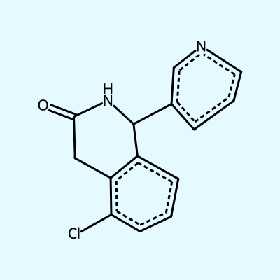 O=C1Cc2c(Cl)cccc2C(c2cccnc2)N1